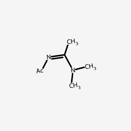 CC(=O)N=C(C)N(C)C